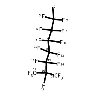 CC(F)(F)C(F)(F)C(F)(F)C(F)(F)C(F)(F)C(F)(C(F)(F)F)C(F)(F)F